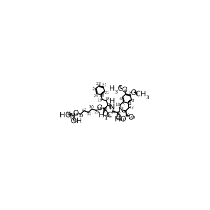 COc1cc2c(cc1OC)CN(C(=O)C(C)NC(CCc1ccccc1)C(=O)OCCCCCON(O)O)C(C(=O)O)C2